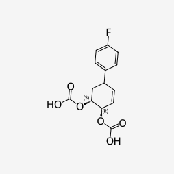 O=C(O)O[C@H]1CC(c2ccc(F)cc2)C=C[C@H]1OC(=O)O